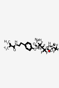 C=C(C)C(=O)NCCc1ccc(OS(=O)(=O)C(F)(F)C(F)(F)C(F)(F)S(=O)(=O)NS(=O)(=O)C(F)(F)F)cc1.[NaH]